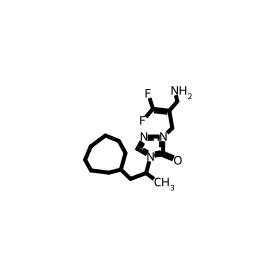 CC(CC1CCCCCCC1)n1cnn(CC(CN)=C(F)F)c1=O